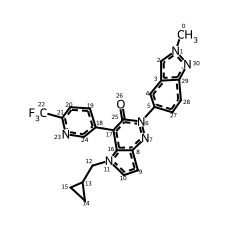 Cn1cc2cc(-n3nc4ccn(CC5CC5)c4c(-c4ccc(C(F)(F)F)nc4)c3=O)ccc2n1